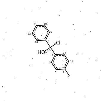 Cc1ccc(C(O)(Cl)c2ccccc2)cc1